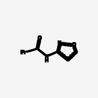 CC(C)C(=O)Nc1ccon1